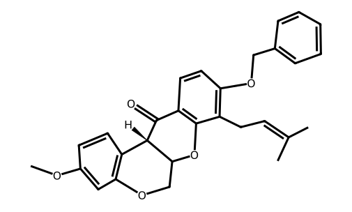 COc1ccc2c(c1)OCC1Oc3c(ccc(OCc4ccccc4)c3CC=C(C)C)C(=O)[C@@H]21